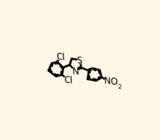 O=[N+]([O-])c1ccc(C2=NC(c3c(Cl)cccc3Cl)CS2)cc1